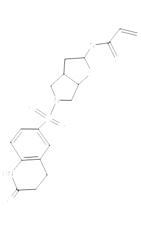 C=CC(=O)NC1CC2CN(S(=O)(=O)c3ccc4c(c3)CCC(=O)N4)CC2O1